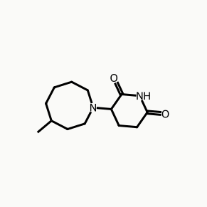 CC1CCCCN(C2CCC(=O)NC2=O)CC1